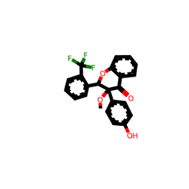 COC1(c2ccc(O)cc2)C(=O)c2ccccc2OC1c1ccccc1C(F)(F)F